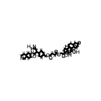 C[C@]12C=CC(=O)C=C1CC[C@@H]1[C@@H]2[C@@H](O)C[C@@]2(C)[C@H]1CC[C@]2(O)C(=O)COC(=O)CCC(=O)OCc1ccc(C(CCN)C(=O)Nc2ccc3cnccc3c2)cc1